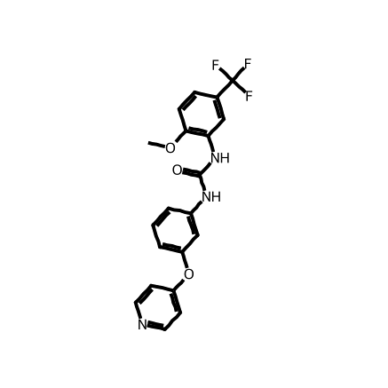 COc1ccc(C(F)(F)F)cc1NC(=O)Nc1cccc(Oc2ccncc2)c1